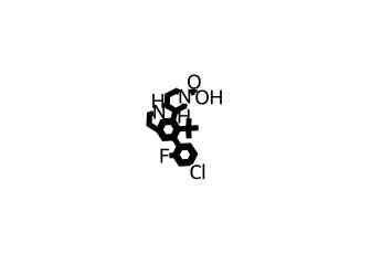 CC(C)(C)c1c(-c2ccc(Cl)cc2F)cc2c3c1[C@@H]1CN(C(=O)O)CC[C@@H]1N3CC2